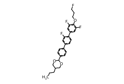 CCCC1COC(c2ccc(-c3ccc(-c4cc(F)c(OCCCF)c(F)c4)c(F)c3)cc2)OC1